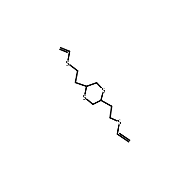 C=CSCCC1CSC(CCSC=C)CS1